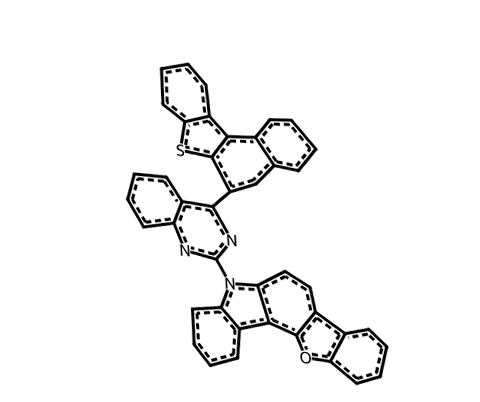 c1ccc2c(c1)cc(-c1nc(-n3c4ccccc4c4c5oc6ccccc6c5ccc43)nc3ccccc13)c1sc3ccccc3c12